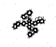 CC1(C)c2ccccc2-c2ccc(-c3c4ccc(N5c6ccccc6Cc6ccccc65)cc4c(-c4ccc(-c5ccc6ccccc6c5)cc4)c4ccc(N5c6ccccc6Cc6ccccc65)cc34)cc21